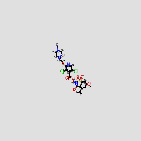 COc1cc(C(C)C)c2c(c1)S(=O)(=O)N(COC(=O)c1c(Cl)cnc(OCCN3CCN(C)CC3)c1Cl)C2=O